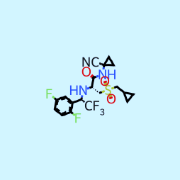 N#CC1(NC(=O)[C@H](CS(=O)(=O)CC2CC2)N[C@H](c2cc(F)ccc2F)C(F)(F)F)CC1